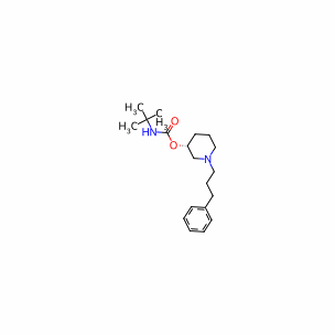 CC(C)(C)NC(=O)O[C@@H]1CCCN(CCCc2ccccc2)C1